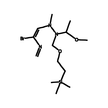 C=N/C(Br)=C\N(C)N(COCC[Si](C)(C)C)C(C)OC